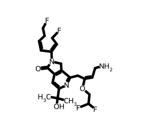 CC(C)(O)c1cc2c(c(C/C(=C\CN)OCC(F)F)n1)CN(C(/C=C\CCF)=C/CF)C2=O